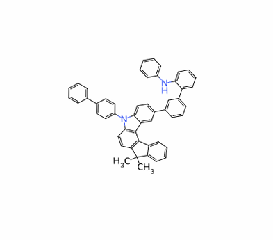 CC1(C)c2ccccc2-c2c1ccc1c2c2cc(-c3cccc(-c4ccccc4Nc4ccccc4)c3)ccc2n1-c1ccc(-c2ccccc2)cc1